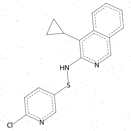 Clc1ccc(SNc2ncc3ccccc3c2C2CC2)cn1